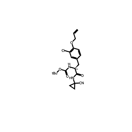 C=CCOc1ccc(C[C@H](NC(=O)OC(C)(C)C)C(=O)NC2(C#N)CC2)cc1Cl